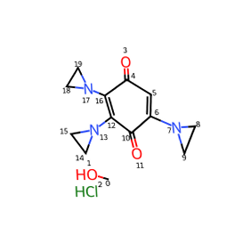 CO.Cl.O=C1C=C(N2CC2)C(=O)C(N2CC2)=C1N1CC1